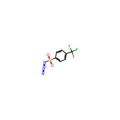 [N-]=[N+]=NS(=O)(=O)c1ccc(C(F)(F)F)cc1